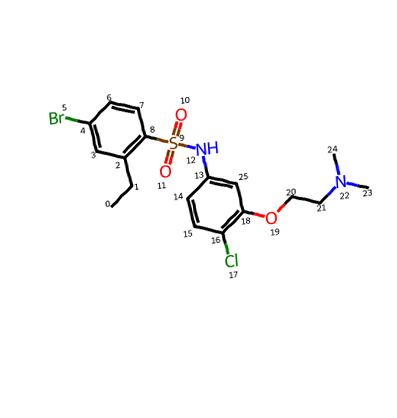 CCc1cc(Br)ccc1S(=O)(=O)Nc1ccc(Cl)c(OCCN(C)C)c1